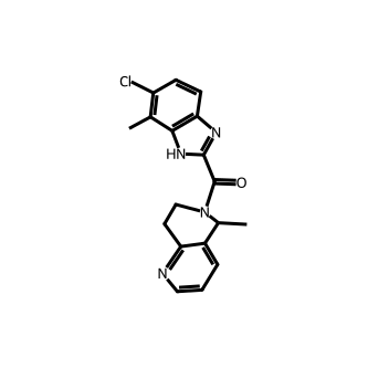 Cc1c(Cl)ccc2nc(C(=O)N3CCc4ncccc4C3C)[nH]c12